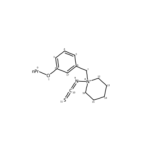 CCCOc1cccc(C[N+]2(N=C=S)CCCCC2)c1